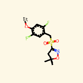 CCOc1cc(F)c(CS(=O)(=O)C2=NOC(C)(C)C2)cc1F